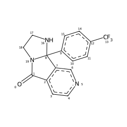 O=C1c2ccncc2C2(c3ccc(C(F)(F)F)cc3)NCCN12